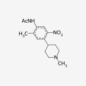 CC(=O)Nc1cc([N+](=O)[O-])c(C2CCN(C)CC2)cc1C